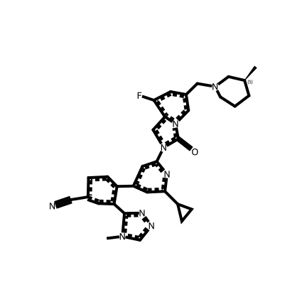 C[C@H]1CCCN(Cc2cc(F)c3cn(-c4cc(-c5ccc(C#N)cc5-c5nncn5C)cc(C5CC5)n4)c(=O)n3c2)C1